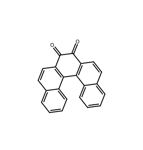 O=C1C(=O)c2ccc3ccccc3c2-c2c1ccc1ccccc21